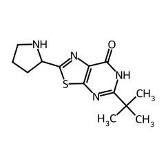 CC(C)(C)c1nc2sc(C3CCCN3)nc2c(=O)[nH]1